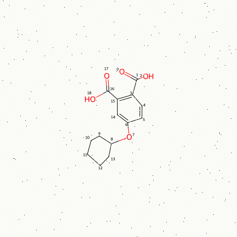 O=C(O)c1ccc(OC2CCCCC2)cc1C(=O)O